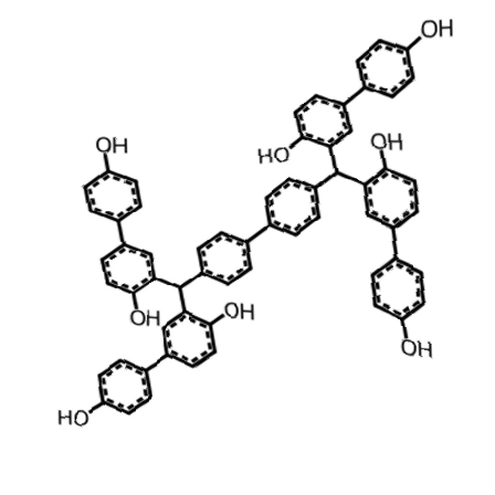 Oc1ccc(-c2ccc(O)c(C(c3ccc(-c4ccc(C(c5cc(-c6ccc(O)cc6)ccc5O)c5cc(-c6ccc(O)cc6)ccc5O)cc4)cc3)c3cc(-c4ccc(O)cc4)ccc3O)c2)cc1